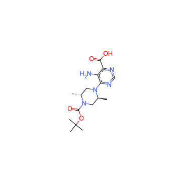 C[C@@H]1CN(c2ncnc(C(=O)O)c2N)[C@@H](C)CN1C(=O)OC(C)(C)C